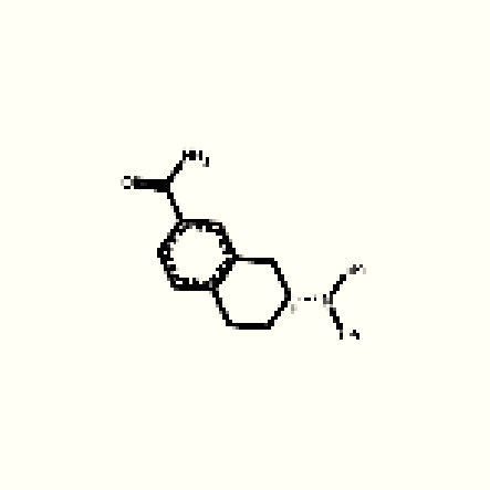 CCCN(CCC)[C@@H]1CCc2ccc(C(N)=O)cc2C1